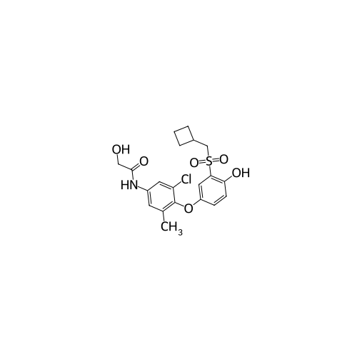 Cc1cc(NC(=O)CO)cc(Cl)c1Oc1ccc(O)c(S(=O)(=O)CC2CCC2)c1